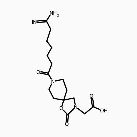 N=C(N)CCCCCC(=O)N1CCC2(CC1)CN(CC(=O)O)C(=O)O2